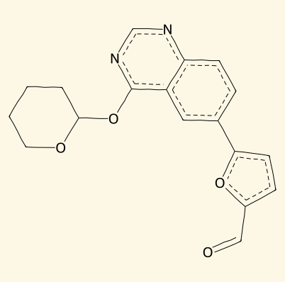 O=Cc1ccc(-c2ccc3ncnc(OC4CCCCO4)c3c2)o1